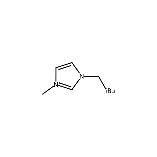 CCC(C)Cn1cc[n+](C)c1